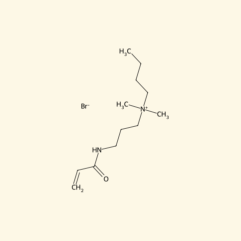 C=CC(=O)NCCC[N+](C)(C)CCCC.[Br-]